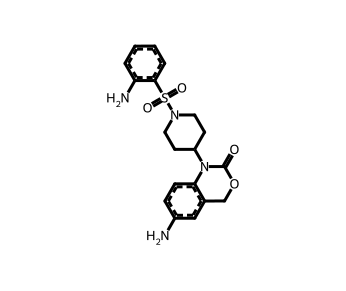 Nc1ccc2c(c1)COC(=O)N2C1CCN(S(=O)(=O)c2ccccc2N)CC1